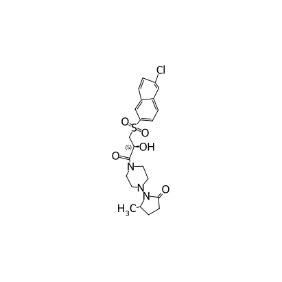 CC1CCC(=O)N1N1CCN(C(=O)[C@H](O)CS(=O)(=O)c2ccc3cc(Cl)ccc3c2)CC1